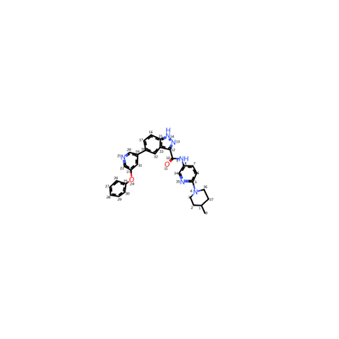 CC1CCN(c2ccc(NC(=O)c3n[nH]c4ccc(-c5cncc(Oc6ccccc6)c5)cc34)cn2)CC1